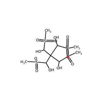 CS(=O)(=O)C(O)C(C(O)S(C)(=O)=O)(C(O)S(C)(=O)=O)C(O)S(C)(=O)=O